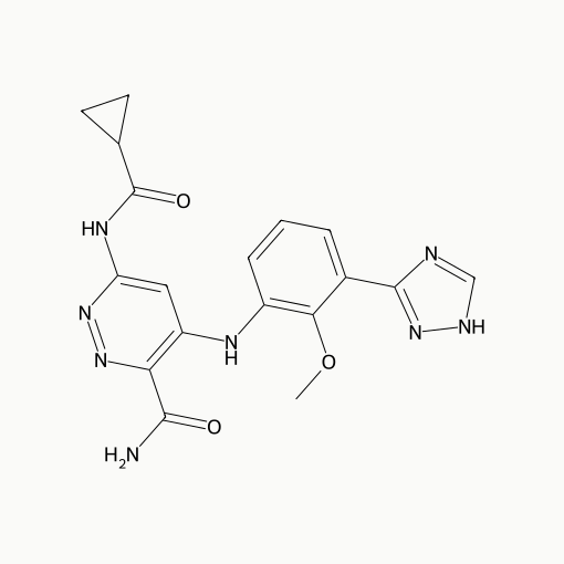 COc1c(Nc2cc(NC(=O)C3CC3)nnc2C(N)=O)cccc1-c1nc[nH]n1